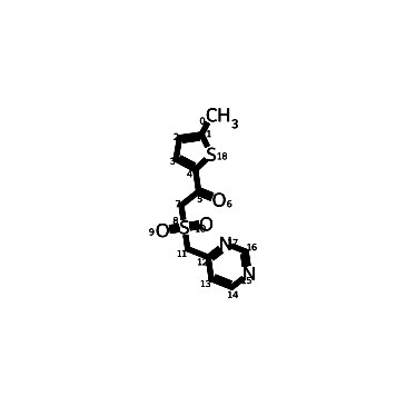 Cc1ccc(C(=O)CS(=O)(=O)Cc2ccncn2)s1